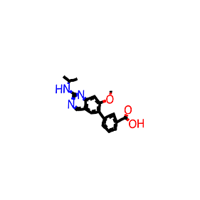 COc1cc2nc(NC(C)C)ncc2cc1-c1cccc(C(=O)O)c1